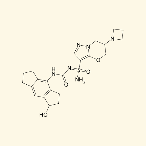 NS(=O)(=NC(=O)Nc1c2c(cc3c1CCC3O)CCC2)c1cnn2c1OCC(N1CCC1)C2